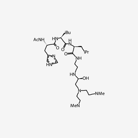 CCC(C)[C@H](NC(=O)[C@H](Cc1c[nH]cn1)NC(C)=O)C(=O)N[C@@H](CC(C)C)C(=O)NCCN[C@@H](O)CN(CCNC)CCNC